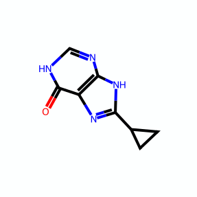 O=c1[nH]cnc2[nH]c(C3CC3)nc12